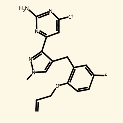 C=CCOc1ccc(F)cc1Cc1cn(C)nc1-c1cc(Cl)nc(N)n1